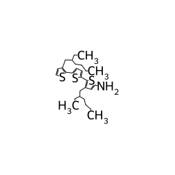 CCCCC(CC)Cc1ccsc1-c1ccc(-c2sc(N)cc2CC(CC)CCCC)s1